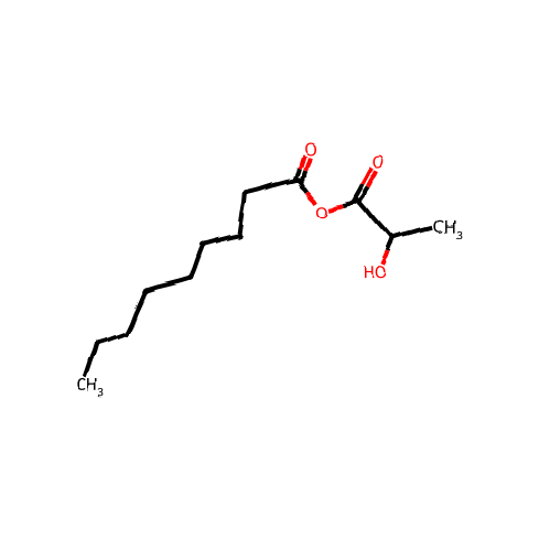 CCCCCCCCC(=O)OC(=O)C(C)O